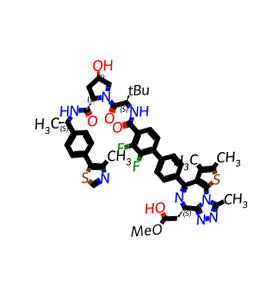 COC(O)C[C@@H]1N=C(c2ccc(-c3ccc(C(=O)N[C@H](C(=O)N4C[C@H](O)C[C@H]4C(=O)N[C@@H](C)c4ccc(-c5scnc5C)cc4)C(C)(C)C)c(F)c3F)cc2)c2c(sc(C)c2C)-n2c(C)nnc21